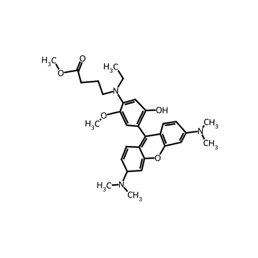 CCN(CCCC(=O)OC)c1cc(O)c(C2=C3C=CC(N(C)C)C=C3Oc3cc(N(C)C)ccc32)cc1OC